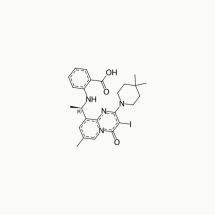 Cc1cc([C@@H](C)Nc2ccccc2C(=O)O)c2nc(N3CCC(C)(C)CC3)c(I)c(=O)n2c1